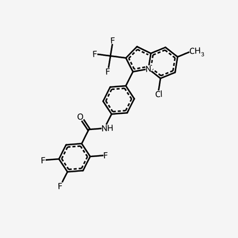 Cc1cc(Cl)n2c(-c3ccc(NC(=O)c4cc(F)c(F)cc4F)cc3)c(C(F)(F)F)cc2c1